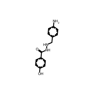 Nc1ccc(CNNC(=O)c2ccc(O)cc2)cc1